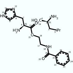 CC(C)C[C@H](N)C(=O)O.N[C@@H](Cc1c[nH]cn1)C(=O)OCCNC(=O)c1ccccc1